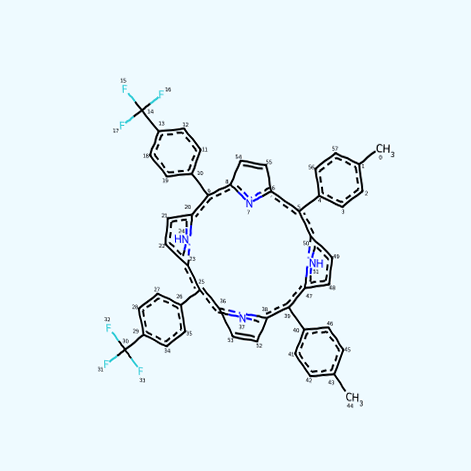 Cc1ccc(-c2c3nc(c(-c4ccc(C(F)(F)F)cc4)c4ccc([nH]4)c(-c4ccc(C(F)(F)F)cc4)c4nc(c(-c5ccc(C)cc5)c5ccc2[nH]5)C=C4)C=C3)cc1